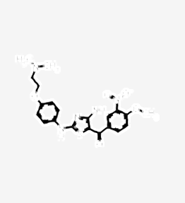 COc1ccc(C(=O)c2sc(Nc3ccc(OCCN(C)C)cc3)nc2N)cc1[N+](=O)[O-]